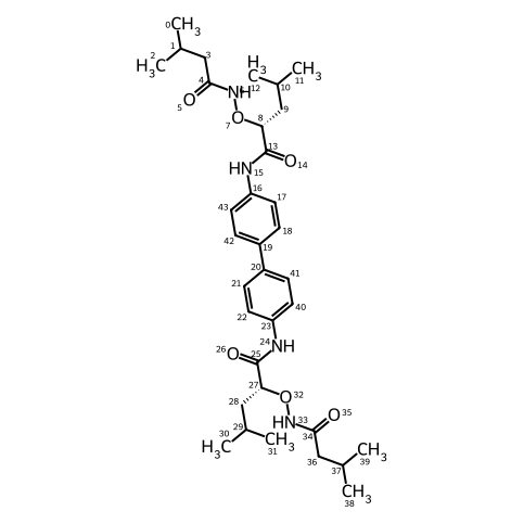 CC(C)CC(=O)NO[C@H](CC(C)C)C(=O)Nc1ccc(-c2ccc(NC(=O)[C@@H](CC(C)C)ONC(=O)CC(C)C)cc2)cc1